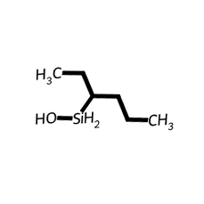 CCCC(CC)[SiH2]O